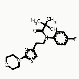 CC(C)(C)C(=O)N(CCc1csc(N2CCOCC2)n1)c1ccc(F)cc1